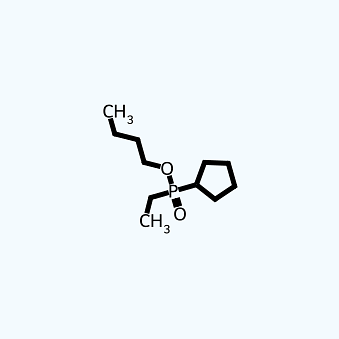 CCCCOP(=O)(CC)C1CCCC1